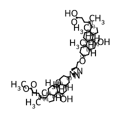 COC(=O)CC[C@@H](C)[C@H]1CC[C@H]2[C@@H]3[C@@H](O)C[C@H]4C[C@H](n5cc(CO[C@H]6CC[C@]7(C)[C@@H](C6)C[C@@H](O)[C@@H]6[C@H]7CC[C@]7(C)[C@@H]6CC[C@H]7[C@H](C)CCC(=O)O)nn5)CC[C@]4(C)[C@H]3CC[C@]12C